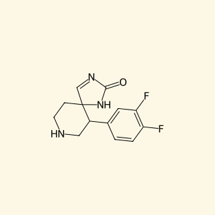 O=C1N=CC2(CCNCC2c2ccc(F)c(F)c2)N1